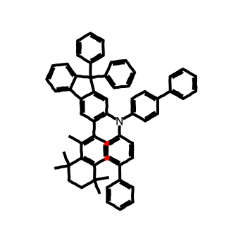 Cc1c(-c2cc3c(cc2N(c2ccc(-c4ccccc4)cc2)c2ccc(-c4ccccc4)cc2)C(c2ccccc2)(c2ccccc2)c2ccccc2-3)ccc2c1C(C)(C)CCC2(C)C